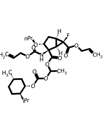 C=CCOC(=O)N[C@@]1(C(=O)OC(C)OC(=O)O[C@H]2C[C@@H](C)CC[C@@H]2C(C)C)[C@H](OCCC)C[C@@H]2[C@H]1[C@@]2(F)C(=O)OCC=C